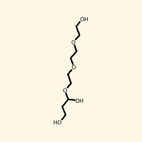 OCCOCCOCCOC(O)CCO